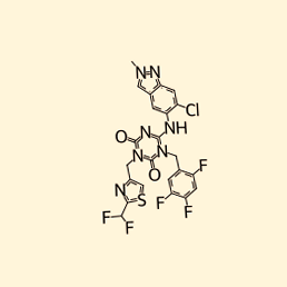 Cn1cc2cc(Nc3nc(=O)n(Cc4csc(C(F)F)n4)c(=O)n3Cc3cc(F)c(F)cc3F)c(Cl)cc2n1